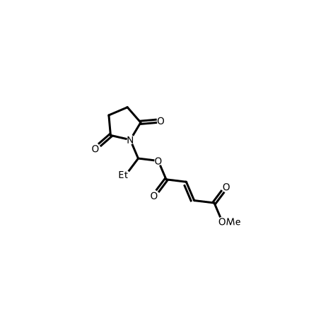 CCC(OC(=O)/C=C/C(=O)OC)N1C(=O)CCC1=O